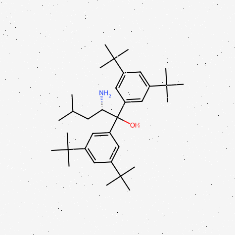 CC(C)C[C@H](N)C(O)(c1cc(C(C)(C)C)cc(C(C)(C)C)c1)c1cc(C(C)(C)C)cc(C(C)(C)C)c1